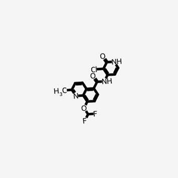 Cc1ccc2c(C(=O)Nc3cc[nH]c(=O)c3Cl)ccc(OC(F)F)c2n1